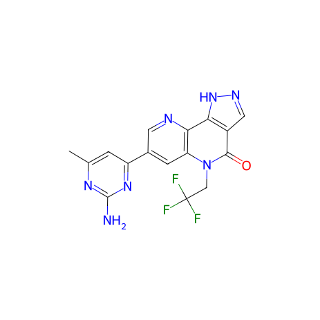 Cc1cc(-c2cnc3c4[nH]ncc4c(=O)n(CC(F)(F)F)c3c2)nc(N)n1